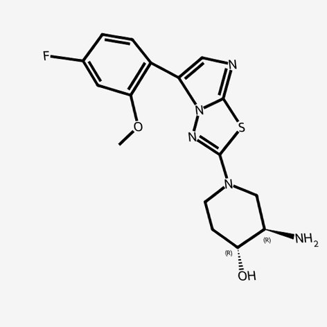 COc1cc(F)ccc1-c1cnc2sc(N3CC[C@@H](O)[C@H](N)C3)nn12